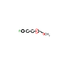 COCCC[C@H]1CO[C@H]([C@H]2CC[C@H]([C@H]3CC[C@H](c4ccc(F)cc4)CC3)CC2)OC1